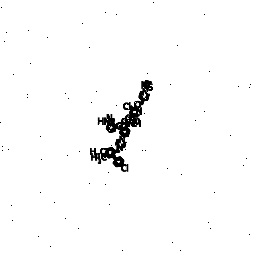 CC1(C)CCC(CN2CCN(c3ccc(C(=O)NS(=O)(=O)c4cnc(OCC5CCN(c6nccs6)CC5)c(Cl)c4)c(Oc4cccc5[nH]ncc45)c3)CC2)=C(c2ccc(Cl)cc2)C1